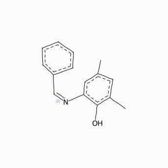 Cc1cc(C)c(O)c(/N=C\c2ccccc2)c1